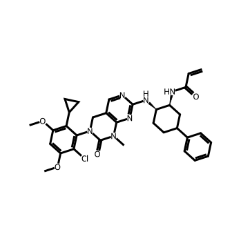 C=CC(=O)N[C@H]1CC(c2ccccc2)CC[C@H]1Nc1ncc2c(n1)N(C)C(=O)N(c1c(Cl)c(OC)cc(OC)c1C1CC1)C2